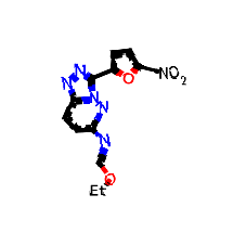 CCOC=Nc1ccc2nnc(-c3ccc([N+](=O)[O-])o3)n2n1